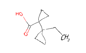 CCC1(C2(C(=O)O)CC2)CC1